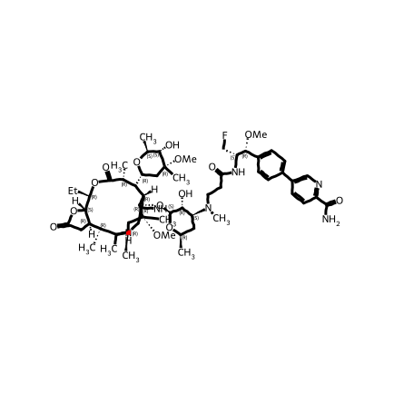 CC[C@H]1OC(=O)[C@H](C)C([C@H]2C[C@@](C)(OC)[C@@H](O)[C@H](C)O2)[C@@H]2C(N)CNC(C)([C@H](C)C[C@@](C)(OC)[C@@H]2O[C@@H]2O[C@H](C)C[C@H](N(C)CCC(=O)N[C@H](CF)[C@H](OC)c3ccc(-c4ccc(C(N)=O)nc4)cc3)[C@H]2O)[C@H](C)[C@H]2CC(=O)O[C@@H]21